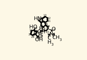 CCN(CC)C(=O)[C@@H]1C=C2c3cccc4[nH]cc(c34)C[C@H]2N(C)C1.O=C(O)c1cccc(O)c1O